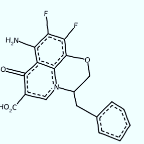 Nc1c(F)c(F)c2c3c1c(=O)c(C(=O)O)cn3C(Cc1ccccc1)CO2